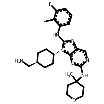 CC1(Nc2ncc3nc(Nc4cccc(F)c4F)n([C@H]4CC[C@H](CN)CC4)c3n2)CCOCC1